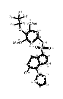 [2H]C([2H])(F)C([2H])([2H])Oc1c(OC)nc(NS(=O)(=O)c2c[nH]c3c(-n4nccn4)c(Cl)ccc23)nc1OC